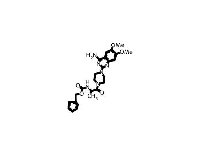 COc1cc2nc(N3CCN(C(=O)C(C)NC(=O)OCc4ccccc4)CC3)nc(N)c2cc1OC